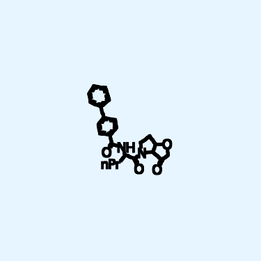 CCCC(NC(=O)c1ccc(-c2ccccc2)cc1)C(=O)N1CCC2OCC(=O)C21